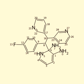 NC1=CC=CNC1(N)C(c1ccc(F)cc1)C(c1cccnc1)c1cccnc1